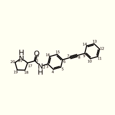 O=C(Nc1ccc(C#Cc2ccccc2)cc1)C1CCCN1